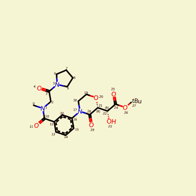 CN(CC(=O)N1CCCC1)C(=O)c1cccc(N2CCO[C@H]([C@@H](O)C(=O)OC(C)(C)C)C2=O)c1